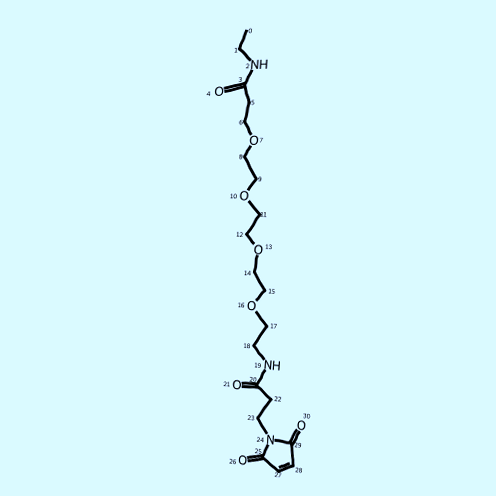 CCNC(=O)CCOCCOCCOCCOCCNC(=O)CCN1C(=O)C=CC1=O